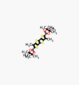 Cc1c(B2OC(C)(C)C(C)(C)O2)sc2c1sc1c3sc(B4OC(C)(C)C(C)(C)O4)c(C)c3sc21